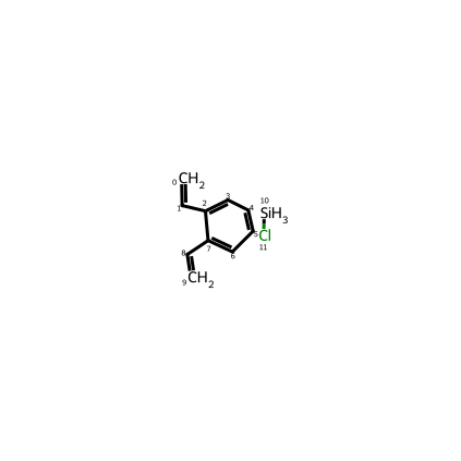 C=Cc1ccccc1C=C.[SiH3]Cl